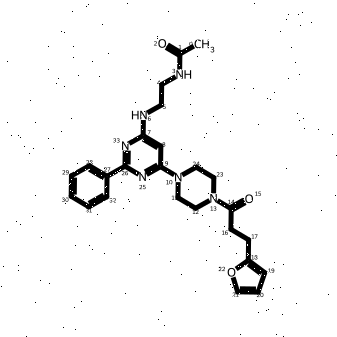 CC(=O)NCCNc1cc(N2CCN(C(=O)CCc3ccco3)CC2)nc(-c2ccccc2)n1